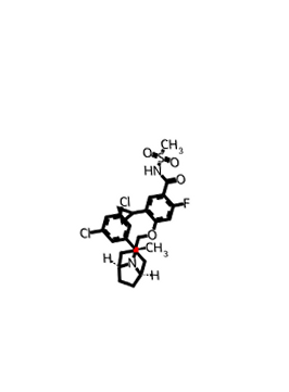 C[C@H](c1cc(Cl)cc(Cl)c1)N1[C@@H]2CC[C@H]1CC(COc1cc(F)c(C(=O)NS(C)(=O)=O)cc1C1CC1)C2